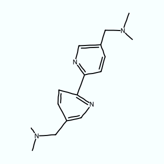 CN(C)Cc1ccc(-c2ccc(CN(C)C)cn2)nc1